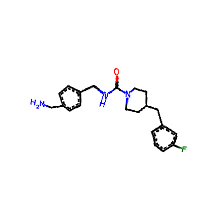 NCc1ccc(CNC(=O)N2CCC(Cc3cccc(F)c3)CC2)cc1